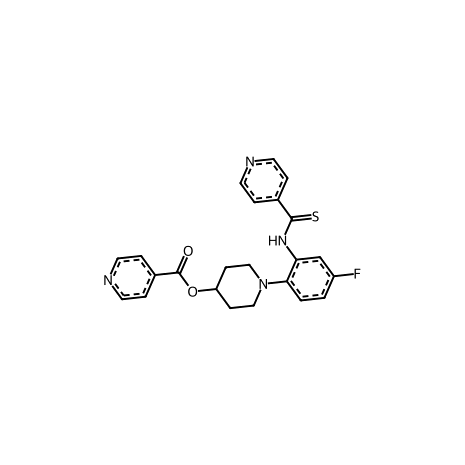 O=C(OC1CCN(c2ccc(F)cc2NC(=S)c2ccncc2)CC1)c1ccncc1